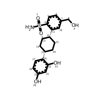 NS(=O)(=O)c1ccc(CO)cc1[C@H]1CC[C@@H](c2ccc(O)cc2O)CC1